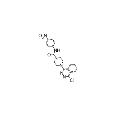 O=C(Nc1ccc([N+](=O)[O-])cc1)N1CCN(c2nnc(Cl)c3ccccc23)CC1